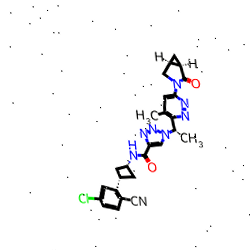 Cc1cc(N2C[C@H]3C[C@H]3C2=O)nnc1[C@H](C)n1cc(C(=O)N[C@H]2C[C@@H](c3cc(Cl)ccc3C#N)C2)nn1